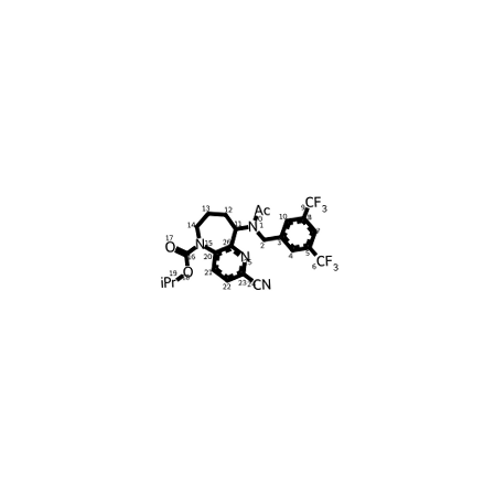 CC(=O)N(Cc1cc(C(F)(F)F)cc(C(F)(F)F)c1)C1CCCN(C(=O)OC(C)C)c2ccc(C#N)nc21